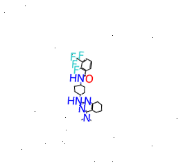 CN(C)c1nc(NC2CCC(NC(=O)c3cccc(C(F)(F)F)c3F)CC2)nc2c1CCCC2